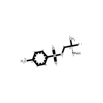 CCCCC[C@](C)(F)COS(=O)(=O)c1ccc(C)cc1